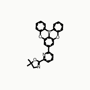 CC1(C)CN=C(c2cccc(-c3cc4c5c(c3)Oc3ccccc3B5c3ccccc3O4)n2)O1